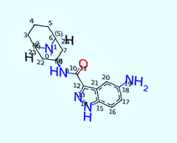 CN1[C@@H]2CCC[C@H]1C[C@@H](NC(=O)c1n[nH]c3ccc(N)cc13)C2